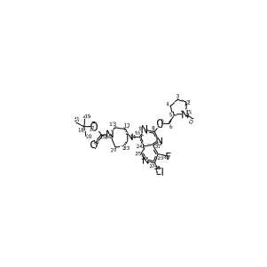 CN1CCC[C@@H]1COc1nc(N2CCN(C(=O)OC(C)(C)C)CC2)c2cnc(Cl)c(F)c2n1